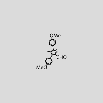 COc1ccc(-c2sc(C=O)c(-c3ccc(OC)cc3)c2C)cc1